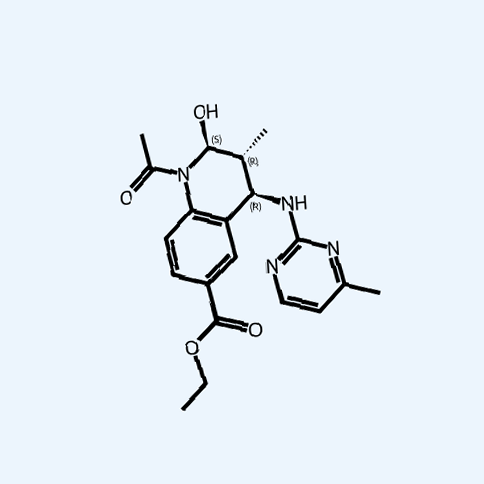 CCOC(=O)c1ccc2c(c1)[C@H](Nc1nccc(C)n1)[C@@H](C)[C@H](O)N2C(C)=O